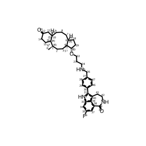 C[C@@H]1CC[C@@]2(C)[C@H](CCC[C@H]3CC(=O)CC[C@@]31C)CC[C@@H]2OCCCNCc1ccc(-c2[nH]c3cc(F)cc4c3c2CCNC4=O)cc1